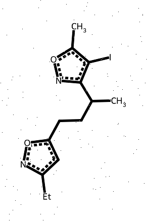 CCc1cc(CCC(C)c2noc(C)c2I)on1